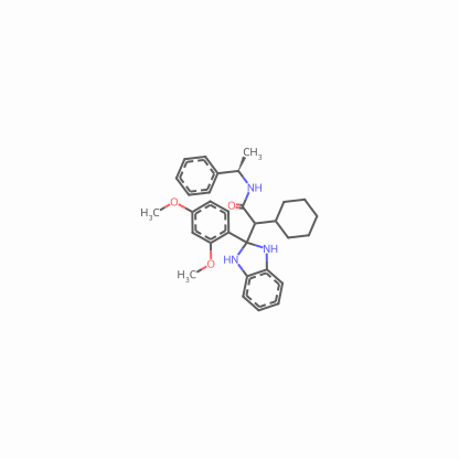 COc1ccc(C2(C(C(=O)N[C@H](C)c3ccccc3)C3CCCCC3)Nc3ccccc3N2)c(OC)c1